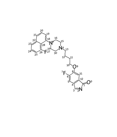 O=C1N=Cc2cc(F)c(OCCCCN3CCN(c4cccc5cccc(F)c45)CC3)cc21